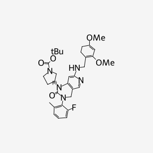 COC1=CC(OC)=C(CNc2cc3c(cn2)CN(c2c(C)cccc2F)C(=O)N3[C@@H]2CCN(C(=O)OC(C)(C)C)C2)CC1